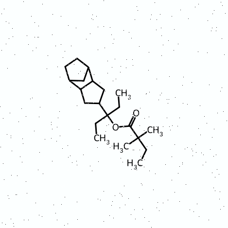 CCC(C)(C)C(=O)OC(CC)(CC)C1CC2C3CCC(C3)C2C1